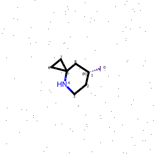 I[C@@H]1CCNC2(CC2)C1